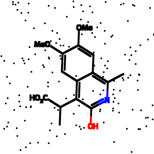 COc1cc2c(C)nc(O)c(C(C)C(=O)O)c2cc1OC